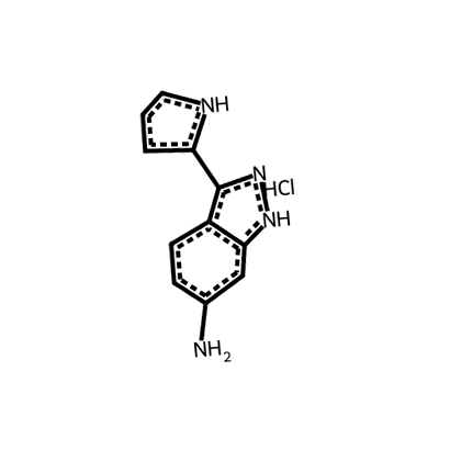 Cl.Nc1ccc2c(-c3ccc[nH]3)n[nH]c2c1